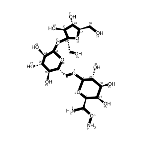 NOC(N)[C@H]1OC(OC[C@H]2OC(O[C@]3(CO)O[C@H](CO)[C@@H](O)[C@@H]3O)[C@H](O)[C@@H](O)[C@@H]2O)[C@H](O)[C@@H](O)[C@H]1O